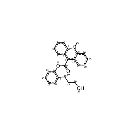 C[n+]1c2ccccc2c(C(=O)Oc2ccccc2CCCO)c2ccccc21